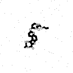 C=CCOCC1(Cl)N=C(Oc2ccc3c(ccc4sc5c(c43)NCC(C)NC5=O)n2)C=CN1